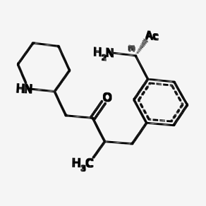 CC(=O)[C@@H](N)c1cccc(CC(C)C(=O)CC2CCCCN2)c1